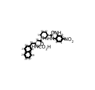 Nc1cc([N+](=O)[O-])ccc1NC(=O)[C@@H]1CCCN(C(=O)C[C@@H](Cc2ccc3ccccc3c2)NC(=O)O)C1